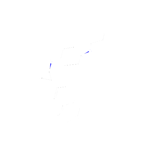 CC/C(=C\c1ccccc1)[C@@H]1C[C@H]1N[C@H]1CC[C@H](N(C)CCC(=O)O)CC1